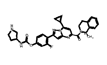 C[C@@H]1c2ccccc2CCN1C(=O)c1cc(C2CC2)n2nc(-c3ccc(OC(=O)NC4CCNC4)cc3F)cc2n1